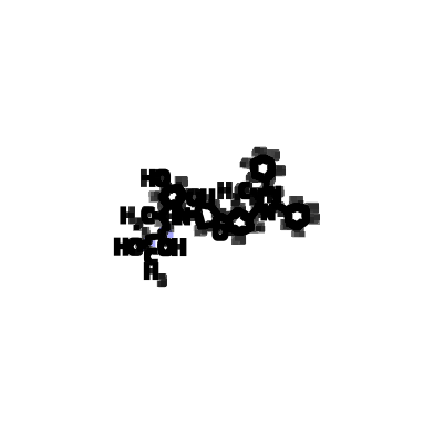 C=C(/C=C(O)\C=C(/C)O)c1cc(O)cc(O)c1NC1=Cc2oc3ccc(C4=NC(c5ccccc5)=NC(c5ccccc5)N4C)cc3c2CC1